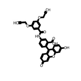 C#CCOc1cc(OCC#C)cc(C(=O)Nc2ccc(-c3c4ccc(=O)cc-4oc4cc(O)ccc34)c(C(=O)O)c2)c1